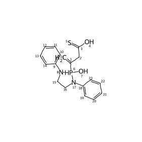 C=C(CC(O)=S)[PH]1(O)N(c2ccccc2)CCN1c1ccccc1